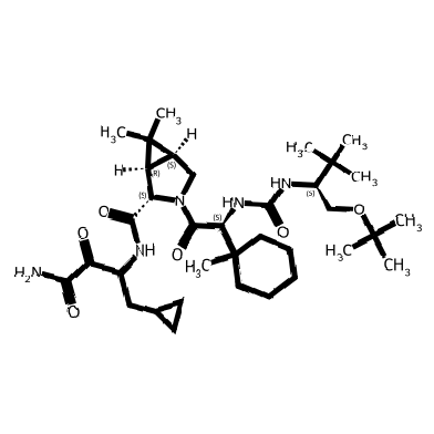 CC(C)(C)OC[C@@H](NC(=O)N[C@H](C(=O)N1C[C@H]2[C@@H]([C@H]1C(=O)NC(CC1CC1)C(=O)C(N)=O)C2(C)C)C1(C)CCCCC1)C(C)(C)C